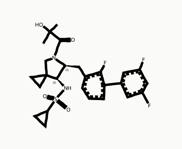 CC(C)(O)C(=O)N1CC2(CC2)[C@H](NS(=O)(=O)C2CC2)[C@@H]1Cc1cccc(-c2cc(F)cc(F)c2)c1F